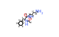 CC(=O)NC(Cc1ccccc1)C(=O)NCCCCN